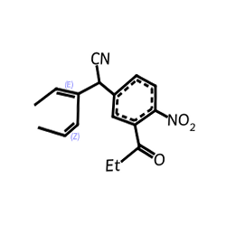 C/C=C\C(=C/C)C(C#N)c1ccc([N+](=O)[O-])c(C(=O)CC)c1